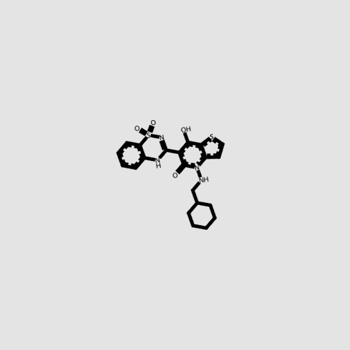 O=c1c(C2=NS(=O)(=O)c3ccccc3N2)c(O)c2sccc2n1NCC1CCCCC1